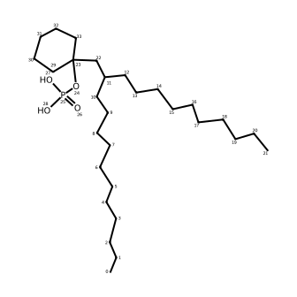 CCCCCCCCCCCC(CCCCCCCCCC)CC1(OP(=O)(O)O)CCCCC1